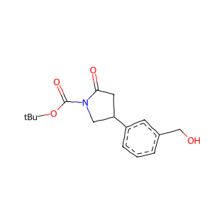 CC(C)(C)OC(=O)N1CC(c2cccc(CO)c2)CC1=O